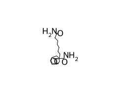 NC(=O)CCCCCCC1(C(N)=O)Cc2ccc(cc2)C1